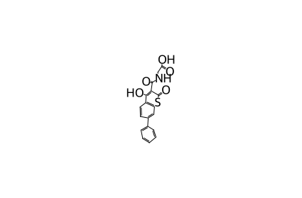 O=C(O)CNC(=O)c1c(O)c2ccc(-c3ccccc3)cc2sc1=O